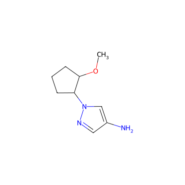 COC1CCCC1n1cc(N)cn1